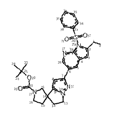 CCc1cc2cc(-c3cc4n(n3)CCC43CCN(C(=O)OC(C)(C)C)C3)cnc2n1S(=O)(=O)c1ccccc1